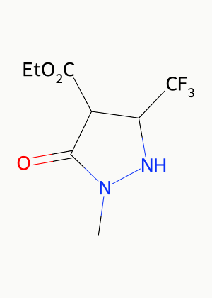 CCOC(=O)C1C(=O)N(C)NC1C(F)(F)F